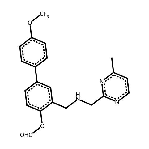 Cc1ccnc(CNCc2cc(-c3ccc(OC(F)(F)F)cc3)ccc2OC=O)n1